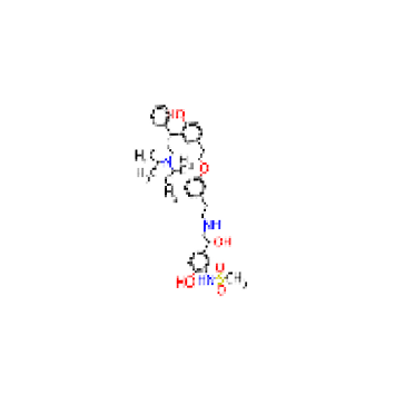 CC(C)N(CC[C@H](c1ccccc1)c1cc(CCOc2cccc(CCNC[C@H](O)c3ccc(O)c(NS(C)(=O)=O)c3)c2)ccc1O)C(C)C